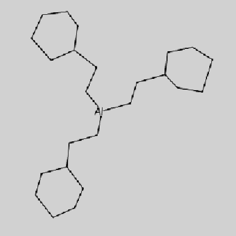 C1CCC(C[CH2][Al]([CH2]CC2CCCCC2)[CH2]CC2CCCCC2)CC1